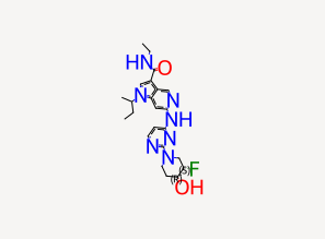 CCNC(=O)c1cn(C(C)CC)c2cc(Nc3ccnc(N4CC[C@@H](O)[C@@H](F)C4)n3)ncc12